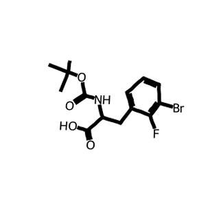 CC(C)(C)OC(=O)NC(Cc1cccc(Br)c1F)C(=O)O